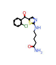 NC(=O)CCCCNc1ncc(C(=O)c2ccccc2Cl)s1